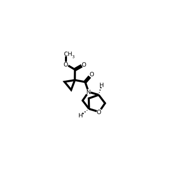 COC(=O)C1(C(=O)N2C[C@H]3C[C@@H]2CO3)CC1